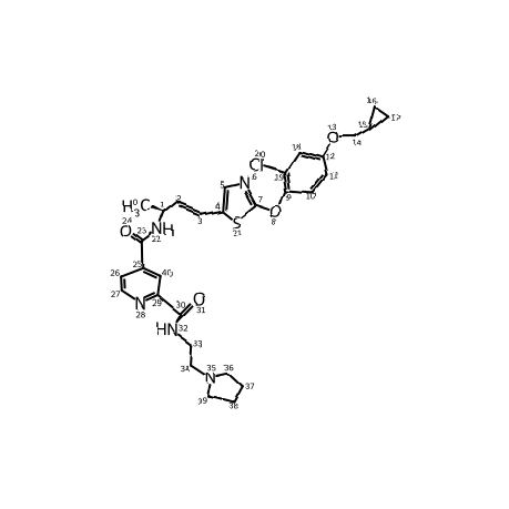 C[C@@H](/C=C/c1cnc(Oc2ccc(OCC3CC3)cc2Cl)s1)NC(=O)c1ccnc(C(=O)NCCN2CCCC2)c1